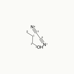 CCCO.N#CC#N